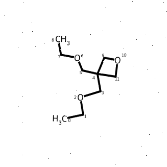 CCOCC1(COCC)COC1